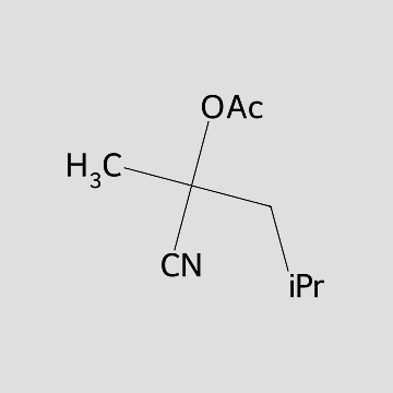 CC(=O)OC(C)(C#N)CC(C)C